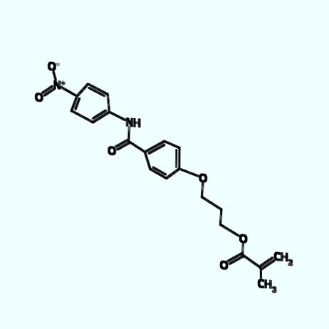 C=C(C)C(=O)OCCCOc1ccc(C(=O)Nc2ccc([N+](=O)[O-])cc2)cc1